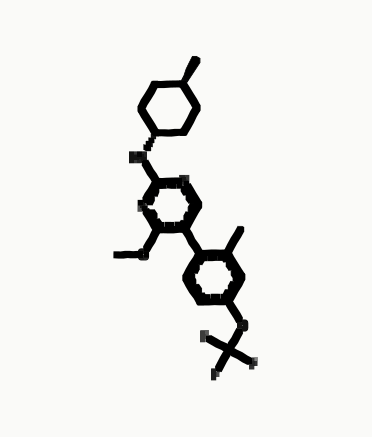 COc1nc(N[C@H]2CC[C@H](C)CC2)ncc1-c1ccc(OC(F)(F)F)cc1C